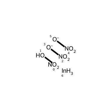 O=[N+]([O-])O.O=[N+]([O-])[O-].O=[N+]([O-])[O-].[InH3]